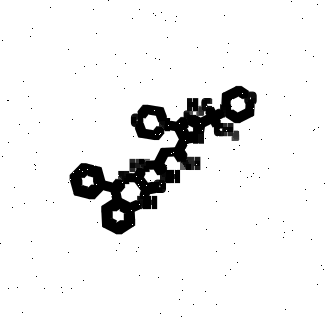 CC(C)(c1nc(C(=N)CC(=N)NC2N=C(c3ccccc3)c3ccccc3NC2=O)c(N2CCOCC2)s1)N1CCOCC1